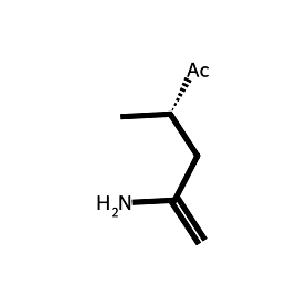 C=C(N)C[C@H](C)C(C)=O